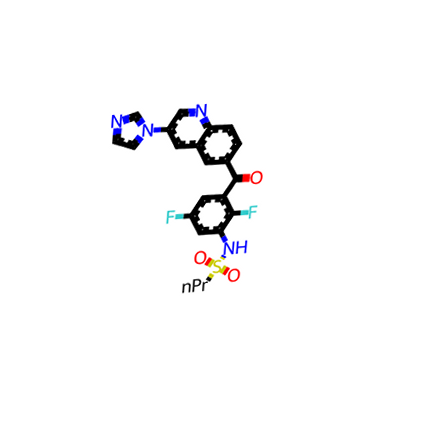 CCCS(=O)(=O)Nc1cc(F)cc(C(=O)c2ccc3ncc(-n4ccnc4)cc3c2)c1F